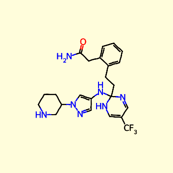 NC(=O)Cc1ccccc1CCC1(Nc2cnn(C3CCCNC3)c2)N=CC(C(F)(F)F)=CN1